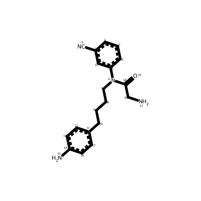 N#Cc1cccc(N(CCCCc2ccc(N)cc2)C(=O)CN)c1